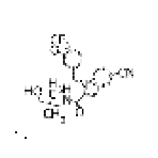 CC(C)(CO)CNC(=O)c1cc2cc(C#N)ccc2n1Cc1cccc(OC(F)(F)F)c1